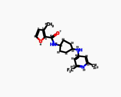 Cc1ccoc1C(=O)NC1CCC(Nc2cc(C(F)(F)F)nc(C(F)(F)F)c2)CC1